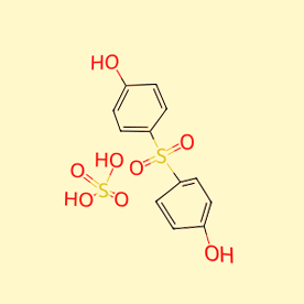 O=S(=O)(O)O.O=S(=O)(c1ccc(O)cc1)c1ccc(O)cc1